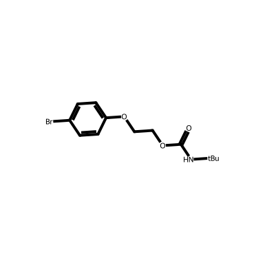 CC(C)(C)NC(=O)OCCOc1ccc(Br)cc1